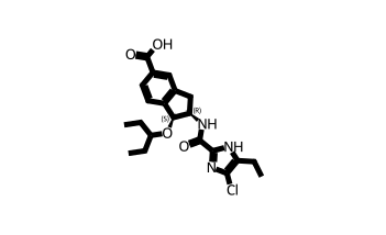 CCc1[nH]c(C(=O)N[C@@H]2Cc3cc(C(=O)O)ccc3[C@@H]2OC(CC)CC)nc1Cl